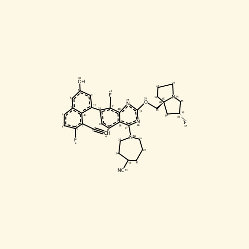 C#Cc1c(F)ccc2cc(O)cc(-c3ccc4c(N5CCCC(C#N)CC5)nc(OC[C@@]56CCCN5C[C@H](F)C6)nc4c3F)c12